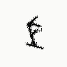 CCCCCCCCC(CCCCCC)C(=O)OCCCCCCN(CCCCO)CCCCCCO[Si](C)(C)OC(CCCCCCC)OCCCCCCC